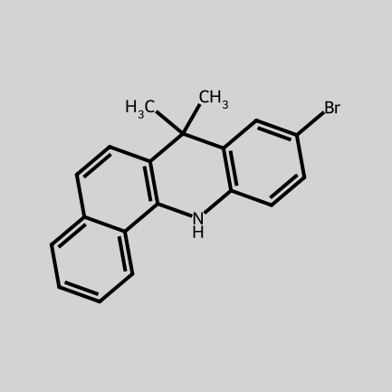 CC1(C)c2cc(Br)ccc2Nc2c1ccc1ccccc21